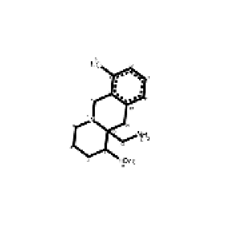 CCCCCCCCC1CCCN2Cc3c(O)cccc3CC12CN